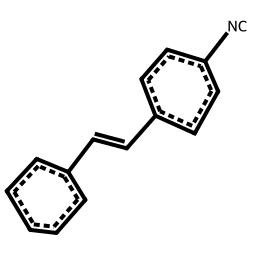 [C-]#[N+]c1ccc(C=Cc2ccccc2)cc1